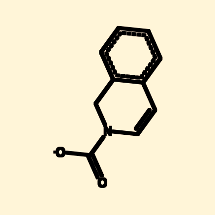 [O]C(=O)N1C=Cc2ccccc2C1